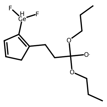 CCCOC([O])(CCC1=[C]([GeH]([F])[F])C=CC1)OCCC